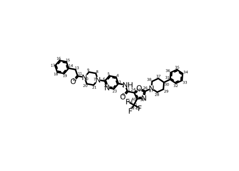 O=C(Nc1ccc(N2CCN(C(=O)Cc3ccccc3)CC2)nc1)c1oc(N2CCC(c3ccccc3)CC2)nc1C(F)(F)F